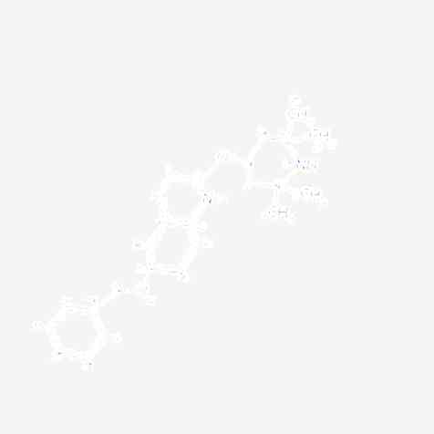 CC1(C)CC(Oc2ccc3cc(OCc4ccccc4)ccc3n2)CC(C)(C)N1